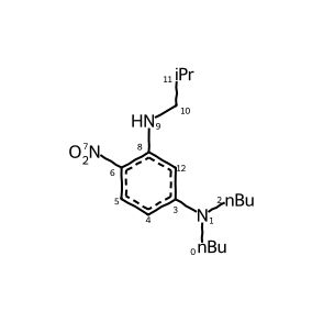 CCCCN(CCCC)c1ccc([N+](=O)[O-])c(NCC(C)C)c1